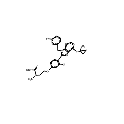 C[C@H](CCOc1ccc(-c2nc3c(OC4(C)CC4)ncnc3n2Cc2cccc(F)c2)c(Cl)c1)C(=O)O